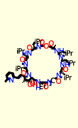 CC[C@H]1NC(=O)C([C@H](O)[C@H](C)C/C=C/c2cccc(C)n2)N(C)C(=O)C(C(C)C)N(C)C(=O)[C@@H](CC(C)C)NC(=O)[C@@H](CC(C)C)N(C)C(=O)OC(=O)[C@@H](C)N[C@@H](CC(C)C)N(C)[C@@H](CC(C)C)NC(=O)[C@H](CC(C)C)N(C)C(=O)CN(C)C1=O